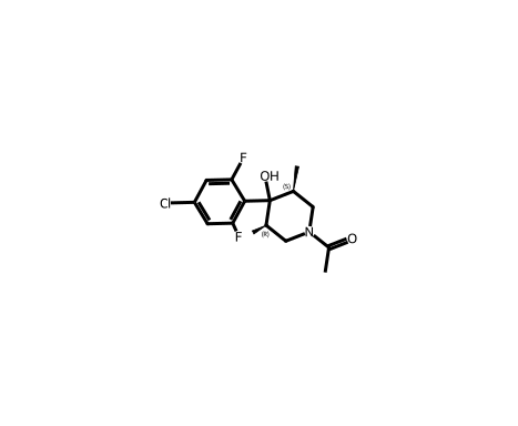 CC(=O)N1C[C@@H](C)C(O)(c2c(F)cc(Cl)cc2F)[C@@H](C)C1